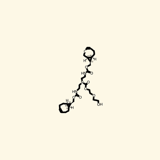 O=C(NCCN(CCNC(=O)OC[C@@H]1[C@@H]2CCC#CCC[C@@H]21)C(=O)OCCOCCO)OC[C@@H]1[C@@H]2CCC#CCC[C@@H]21